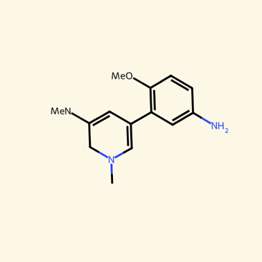 CNC1=CC(c2cc(N)ccc2OC)=CN(C)C1